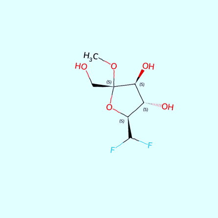 CO[C@@]1(CO)O[C@H](C(F)F)[C@@H](O)[C@@H]1O